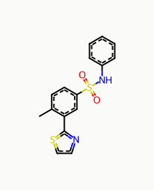 Cc1ccc(S(=O)(=O)Nc2ccccc2)cc1-c1nccs1